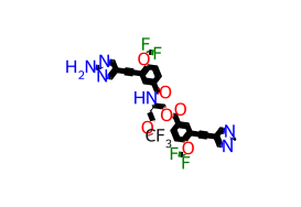 Nc1ncc(C#Cc2cc(C(=O)N[C@@H](CCOC(F)(F)F)COC(=O)c3ccc(OC(F)F)c(C#Cc4cncnc4)c3)ccc2OC(F)F)cn1